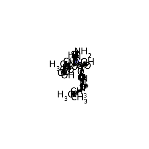 CC1(C)[C@H](NC(=O)/C(=N\O[C@@H](COc2ccc(-n3cc[n+](CCC[N+](C)(C)C)c3)nc2)C(=O)O)c2csc(N)n2)C(=O)N1OS(=O)(=O)O